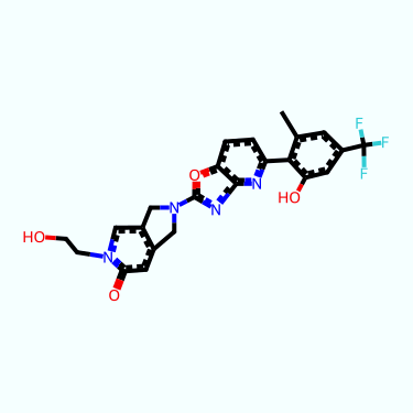 Cc1cc(C(F)(F)F)cc(O)c1-c1ccc2oc(N3Cc4cc(=O)n(CCO)cc4C3)nc2n1